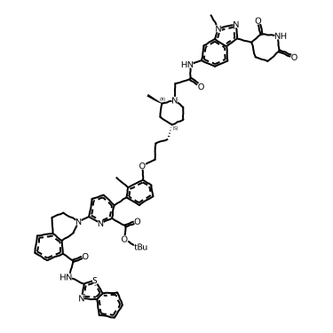 Cc1c(OCCC[C@H]2CCN(CC(=O)Nc3ccc4c(C5CCC(=O)NC5=O)nn(C)c4c3)[C@H](C)C2)cccc1-c1ccc(N2CCc3cccc(C(=O)Nc4nc5ccccc5s4)c3C2)nc1C(=O)OC(C)(C)C